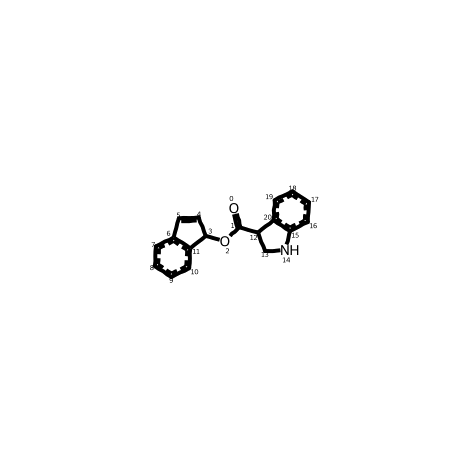 O=C(OC1C=Cc2ccccc21)C1CNc2ccccc21